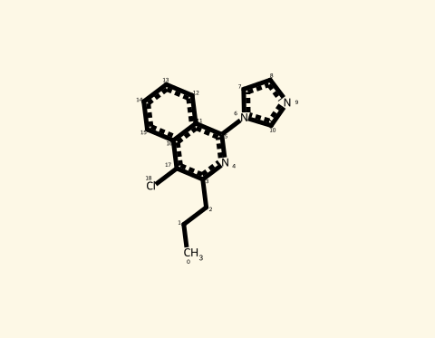 CCCc1nc(-n2ccnc2)c2ccccc2c1Cl